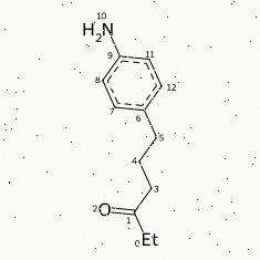 CCC(=O)CCCc1ccc(N)cc1